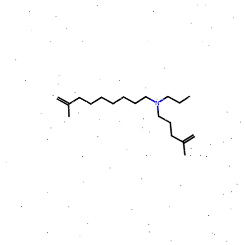 C=C(C)CCCCCCCN(CCC)CCCC(=C)C